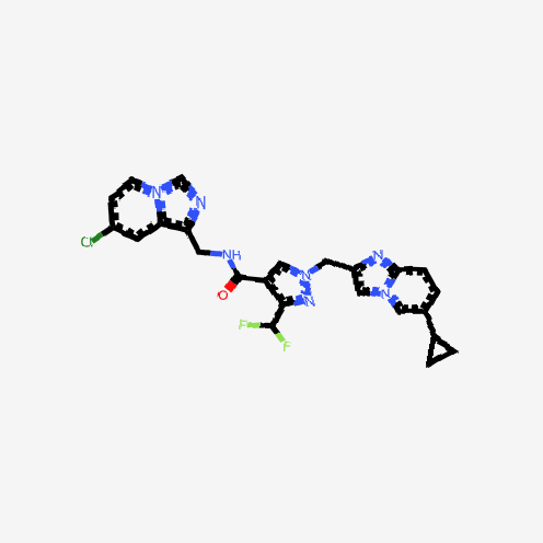 O=C(NCc1ncn2ccc(Cl)cc12)c1cn(Cc2cn3cc(C4CC4)ccc3n2)nc1C(F)F